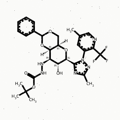 Cc1cnc(C(F)(F)F)c(-n2nc(C)nc2[C@@H]2O[C@@H]3COC(c4ccccc4)O[C@@H]3[C@H](NNC(=O)OC(C)(C)C)[C@H]2O)c1